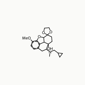 COc1ccc2c3c1OC1C3C(O)(CCC13OCCO3)C(N(C)CC1CC1)C2